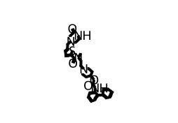 CN(CCN1CCC(OC(=O)Nc2ccccc2-c2ccccc2)CC1)C(=O)c1ccc(CN2CCNC(=O)C2)s1